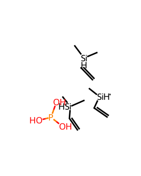 C=C[SiH](C)C.C=C[SiH](C)C.C=C[SiH](C)C.OP(O)O